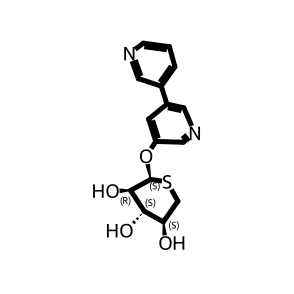 O[C@@H]1[C@@H](O)[C@@H](Oc2cncc(-c3cccnc3)c2)SC[C@H]1O